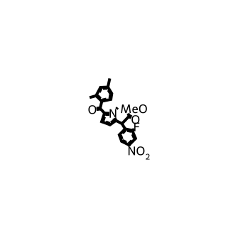 COC(=O)C(c1ccc([N+](=O)[O-])cc1F)c1ccc(C(=O)c2ccc(C)cc2C)n1C